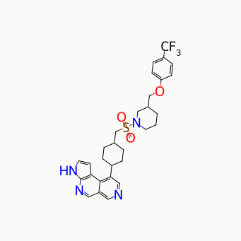 O=S(=O)(CC1CCC(c2cncc3cnc4[nH]ccc4c23)CC1)N1CCCC(COc2ccc(C(F)(F)F)cc2)C1